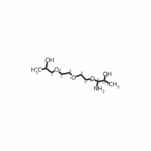 CC(O)COCCOCCOC(N)C(C)O